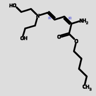 CCCCCOC(=O)/C(N)=C\C=C\N(CCO)CCO